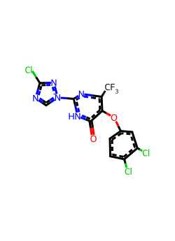 O=c1[nH]c(-n2cnc(Cl)n2)nc(C(F)(F)F)c1Oc1ccc(Cl)c(Cl)c1